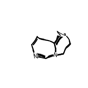 C1=CC2=NCCN2C=N1